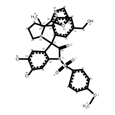 COc1ccc(S(=O)(=O)N2C(=O)C(c3cc(CO)ccc3OC)(N3CCCC3c3ncco3)c3cc(Cl)c(Cl)cc32)cc1